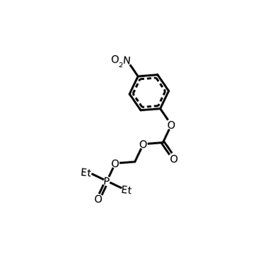 CCP(=O)(CC)OCOC(=O)Oc1ccc([N+](=O)[O-])cc1